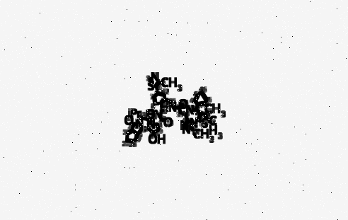 Cc1ncsc1-c1ccc(CNC(=O)[C@@H]2C[C@@H](O)CN2C(=O)[C@H](C(C)C)N2Cc3ccccc3C2=O)c(CNC(=O)C[C@@H]2N=C(c3ccccc3)c3c(sc(C)c3C)-n3c(C)nnc32)c1